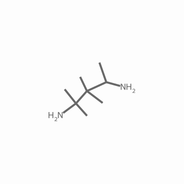 CC(N)C(C)(C)C(C)(C)N